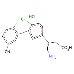 Cl.N#Cc1ccc(F)c(-c2cc([C@H](CN)CC(=O)O)ccc2Cl)c1